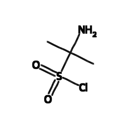 CC(C)(N)S(=O)(=O)Cl